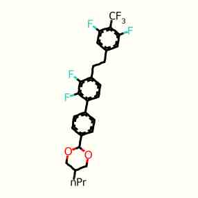 CCCC1COC(c2ccc(-c3ccc(CCc4cc(F)c(C(F)(F)F)c(F)c4)c(F)c3F)cc2)OC1